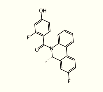 C[C@H]1c2cc(F)ccc2-c2ccccc2N1C(=O)c1ccc(O)cc1F